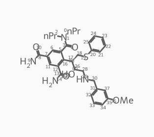 CCCN(CCC)C(=O)c1cc(C(N)=O)cc(C(N)=O)c1[C@@H](CSc1ccccc1)[C@@H](O)CNCc1cccc(OC)c1